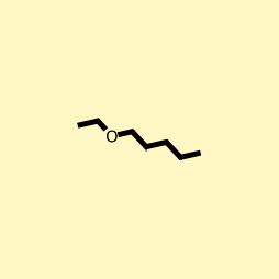 CCC[CH]COCC